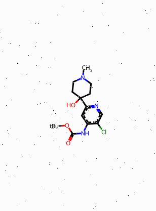 CN1CCC(O)(c2cc(NC(=O)OC(C)(C)C)c(Cl)cn2)CC1